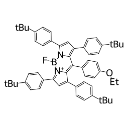 CCOc1ccc(C2=C3C(c4ccc(C(C)(C)C)cc4)=CC(c4ccc(C(C)(C)C)cc4)=[N+]3B(F)n3c(-c4ccc(C(C)(C)C)cc4)cc(-c4ccc(C(C)(C)C)cc4)c32)cc1